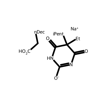 CCCC(C)C1(CC)C(=O)N=C([O-])NC1=O.CCCCCCCCCCCC(=O)O.[Na+]